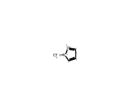 B1C=CC=[O+]1.[Cl-]